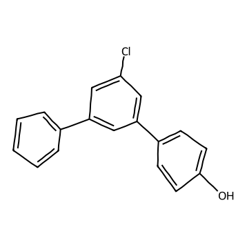 Oc1ccc(-c2cc(Cl)cc(-c3ccccc3)c2)cc1